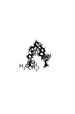 Cc1ccc2c(NS(=O)(=O)CCC3CC3)c(F)ccc2c1Oc1ncccc1-c1ccnc(NC2CCCN(C(=O)OC(C)(C)C)C2)n1